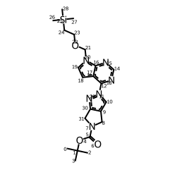 CC(C)(C)OC(=O)N1Cc2cn(-c3ncnc4c3ccn4COCC[Si](C)(C)C)nc2C1